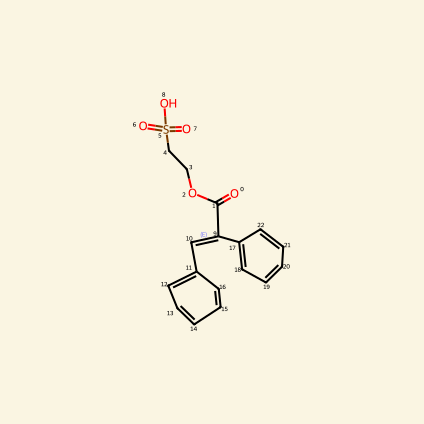 O=C(OCCS(=O)(=O)O)/C(=C/c1ccccc1)c1ccccc1